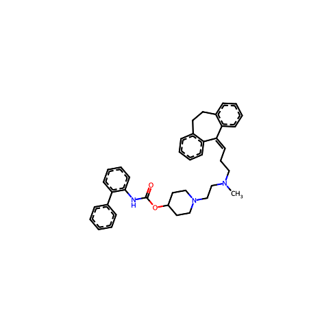 CN(CCC=C1c2ccccc2CCc2ccccc21)CCN1CCC(OC(=O)Nc2ccccc2-c2ccccc2)CC1